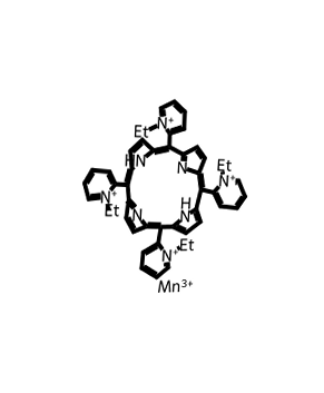 CC[n+]1ccccc1-c1c2nc(c(-c3cccc[n+]3CC)c3ccc([nH]3)c(-c3cccc[n+]3CC)c3nc(c(-c4cccc[n+]4CC)c4ccc1[nH]4)C=C3)C=C2.[Mn+3]